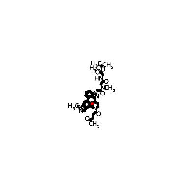 CC(=O)CCC(=O)N1CCC(c2nn(CC(=O)N(C)CC(=O)NCC(=O)OC(C)(C)C)c3cccc(-c4cc5c(cnn5C)cc4F)c23)CC1